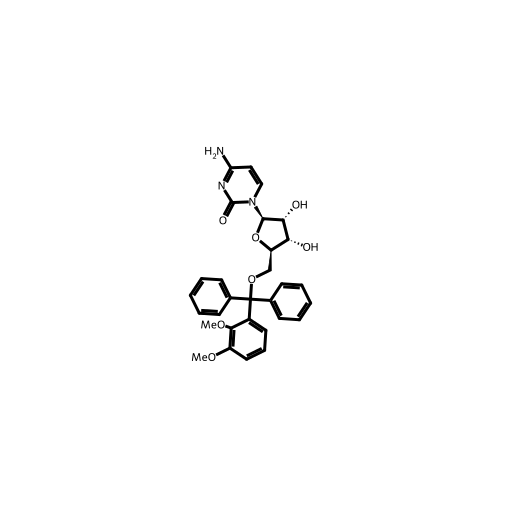 COc1cccc(C(OC[C@H]2O[C@@H](n3ccc(N)nc3=O)[C@H](O)[C@@H]2O)(c2ccccc2)c2ccccc2)c1OC